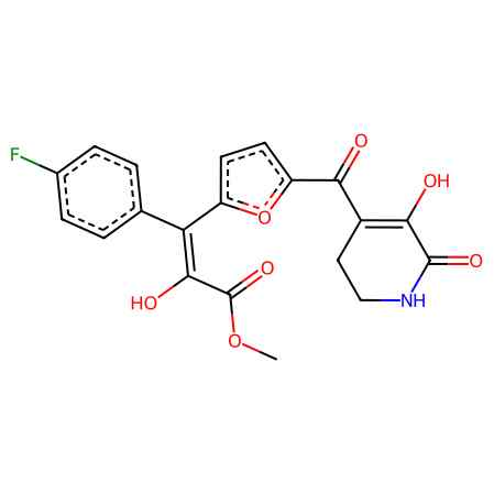 COC(=O)C(O)=C(c1ccc(F)cc1)c1ccc(C(=O)C2=C(O)C(=O)NCC2)o1